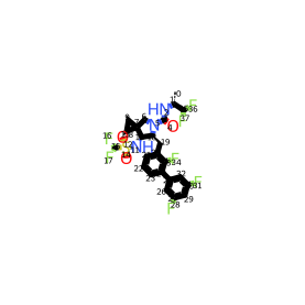 C[C@@H](NC(=O)N1CC2(CC2)[C@H](NS(=O)(=O)C(F)F)[C@@H]1Cc1cccc(-c2cc(F)cc(F)c2)c1F)C(F)F